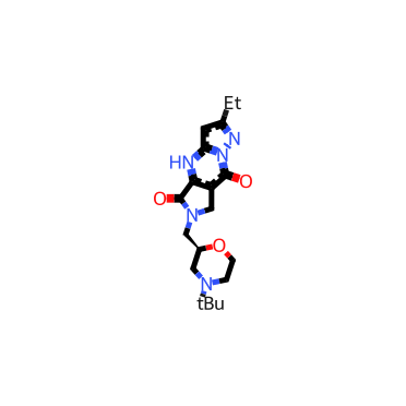 CCc1cc2[nH]c3c(c(=O)n2n1)CN(C[C@@H]1CN(C(C)(C)C)CCO1)C3=O